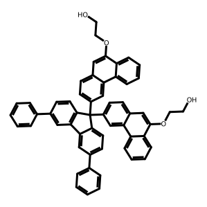 OCCOc1cc2ccc(C3(c4ccc5cc(OCCO)c6ccccc6c5c4)c4ccc(-c5ccccc5)cc4-c4cc(-c5ccccc5)ccc43)cc2c2ccccc12